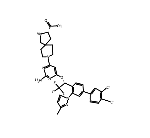 Cc1ccn(-c2cc(-c3ccc(Cl)c(Cl)c3)ccc2[C@@H](Oc2cc(N3CCC4(CC3)CN[C@H](C(=O)O)C4)nc(N)n2)C(F)(F)F)n1